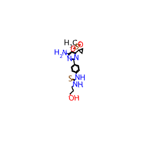 CS(=O)(=O)C1(c2cc(N)nc(-c3ccc(NC(=S)NCCCO)cc3)n2)CC1